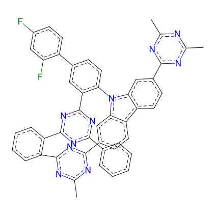 Cc1nc(C)nc(-c2ccc3c4ccc(-c5nc(C)nc(C)n5)cc4n(-c4ccc(-c5ccc(F)cc5F)cc4-c4nc(-c5ccccc5)nc(-c5ccccc5)n4)c3c2)n1